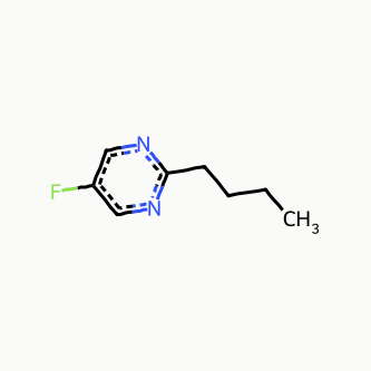 CCCCc1ncc(F)cn1